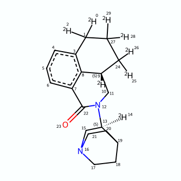 [2H]C1([2H])c2cccc3c2[C@@]([2H])(CN([C@]2([2H])CN4CCC2CC4)C3=O)C([2H])([2H])C1([2H])[2H]